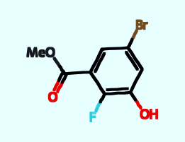 COC(=O)c1cc(Br)cc(O)c1F